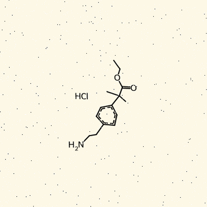 CCOC(=O)C(C)(C)c1ccc(CCN)cc1.Cl